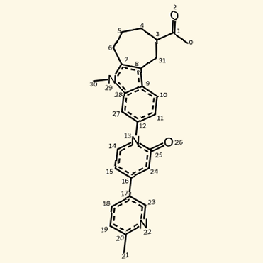 CC(=O)C1CCCc2c(c3ccc(-n4ccc(-c5ccc(C)nc5)cc4=O)cc3n2C)C1